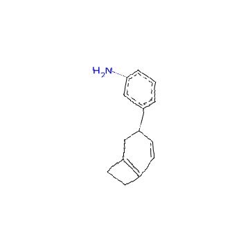 Nc1cccc(C2C=CC3=C(CC3)C2)c1